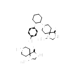 CCCN1CNC(=O)C12CCN([C@@H]1CCCC[C@@H]1c1ccc(Cl)cc1)CC2.CCCN1CNC(=O)C12CCNCC2